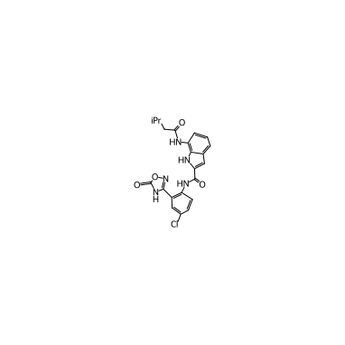 CC(C)CC(=O)Nc1cccc2cc(C(=O)Nc3ccc(Cl)cc3-c3noc(=O)[nH]3)[nH]c12